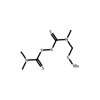 CN(C)C(=S)SSC(=S)N(C)CSC(C)(C)C